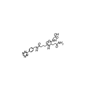 NC(=O)CCC(NC(=O)CCCC(=O)NCc1ccc(-c2nncnn2)cc1)C(=O)NCC(=O)O